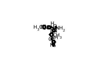 C[C@@H]1[C@H](NC(=O)c2ccc3scnc3c2)CCCN1c1cnc(C(N)=O)c(Nc2ccc(N3CCN(C)CC3)cc2)n1